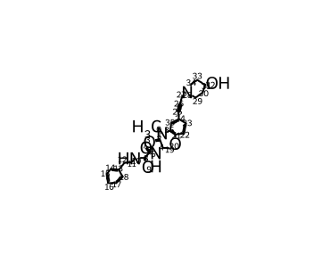 CN1C(=O)[C@@H](NC(=O)C(=O)NCCc2ccccc2)COc2ccc(C#CCN3CCC(O)CC3)cc21